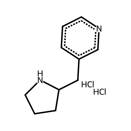 Cl.Cl.c1cncc(CC2CCCN2)c1